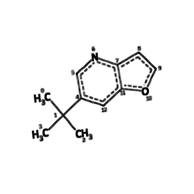 CC(C)(C)c1cnc2ccoc2c1